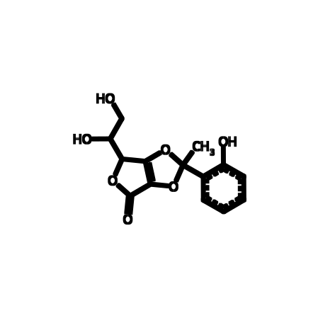 CC1(c2ccccc2O)OC2=C(O1)C(C(O)CO)OC2=O